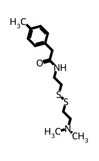 Cc1ccc(CC(=O)NCCSSCCN(C)C)cc1